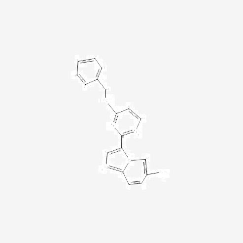 Nc1ccc2ncc(-c3nccc(NCc4ccccc4)n3)n2c1